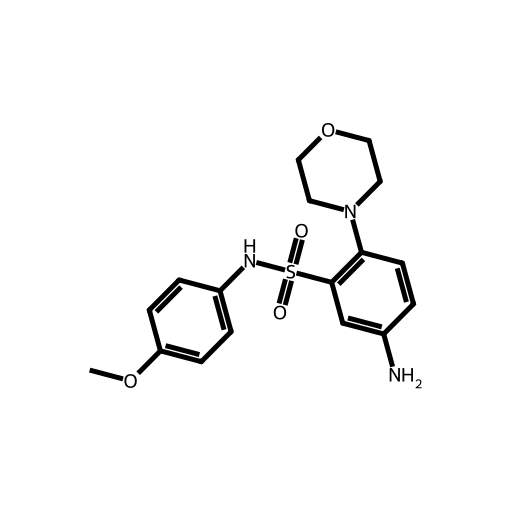 COc1ccc(NS(=O)(=O)c2cc(N)ccc2N2CCOCC2)cc1